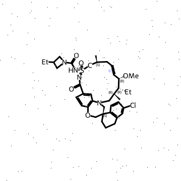 CCC1CN(C(=O)N[S@@]2(=O)=NC(=O)c3ccc4c(c3)N(C[C@H](C)[C@@H](CC)[C@@H](OC)/C=C/C[C@H](C)C2)C[C@@]2(CCCc3cc(Cl)ccc32)CO4)C1